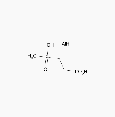 CP(=O)(O)CCC(=O)O.[AlH3]